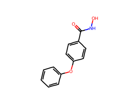 O=C(NO)c1ccc(Oc2ccccc2)cc1